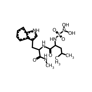 CNC(=O)C(Cc1c[nH]c2ccccc12)NC(=O)C(CC(C)C)NS(=O)(=O)N(O)O